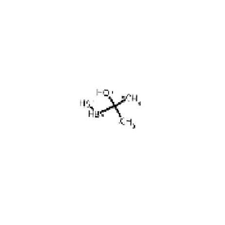 CC(C)(O)BS